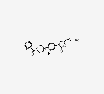 CC(=O)NCC1CN(c2ccc(N3CCN(C(=O)c4ccccn4)CC3)c(F)c2)C(=O)O1